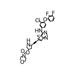 O=C(OC1CNC(C#Cc2cc3ncnc(Nc4ccc(Oc5cccc(F)c5F)c(Cl)c4)c3s2)C1)N1CCOCC1